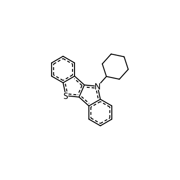 c1ccc2c(c1)sc1c3ccccc3n(C3CCCCC3)c21